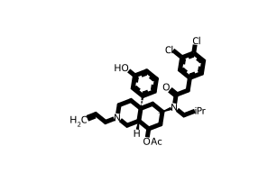 C=CCN1CC[C@@]2(c3cccc(O)c3)C[C@@H](N(CC(C)C)C(=O)Cc3ccc(Cl)c(Cl)c3)CC(OC(C)=O)[C@@H]2C1